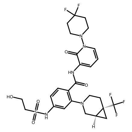 O=C(Nc1cccn(N2CCC(F)(F)CC2)c1=O)c1ccc(NS(=O)(=O)CCO)cc1N1CC[C@@]2(C(F)(F)F)C[C@H]2C1